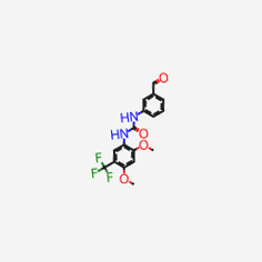 COc1cc(OC)c(C(F)(F)F)cc1NC(=O)Nc1cccc(C=O)c1